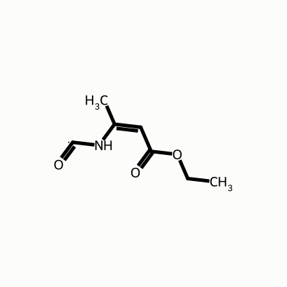 CCOC(=O)C=C(C)N[C]=O